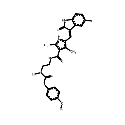 CCOc1ccc(OC(=O)N(CC)CCNC(=O)c2c(C)[nH]c(/C=C3\C(=O)Nc4ccc(F)cc43)c2C)cc1